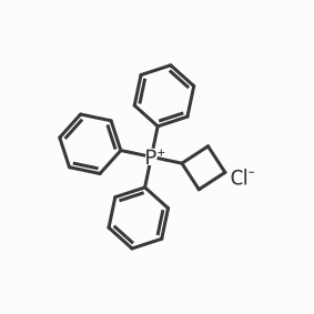 [Cl-].c1ccc([P+](c2ccccc2)(c2ccccc2)C2CCC2)cc1